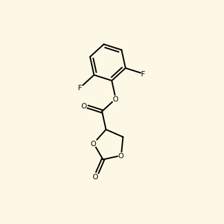 O=C1OCC(C(=O)Oc2c(F)cccc2F)O1